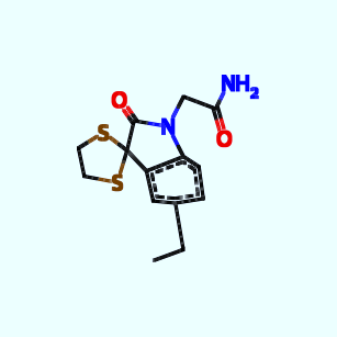 CCc1ccc2c(c1)C1(SCCS1)C(=O)N2CC(N)=O